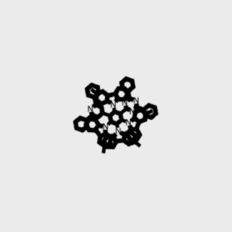 Cc1ccc2c(c1)c1ccccc1n2-c1c(-c2cc(-c3ccccc3)nc(-c3ccccc3)c2)c(-n2c3ccccc3c3cc(C)ccc32)c(-n2c3ccccc3c3cc(C)ccc32)c(-n2c3ccccc3c3cc(C)ccc32)c1-c1nc(-c2ccccc2)nc(-c2ccccc2)n1